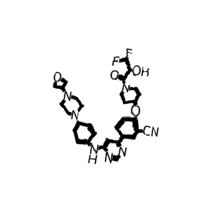 N#Cc1cc(-c2cc(Nc3ccc(N4CCN(C5COC5)CC4)cc3)ncn2)ccc1OC1CCN(C(=O)[C@H](O)C(F)F)CC1